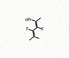 CCC/C(C)=C(/F)C(F)=C(C)C